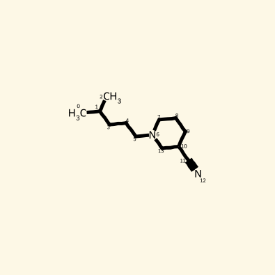 CC(C)CCCN1CCCC(C#N)C1